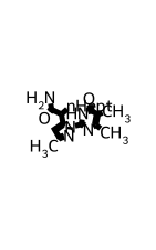 CCCCCCCC(C(N)=O)c1cc(C)nn1-c1nc(C)c(C)c(=O)[nH]1